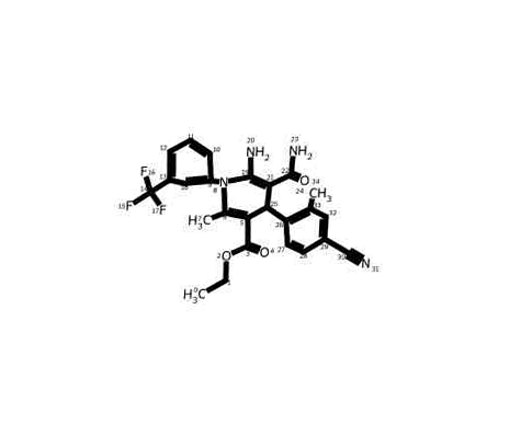 CCOC(=O)C1=C(C)N(c2cccc(C(F)(F)F)c2)C(N)=C(C(N)=O)C1c1ccc(C#N)cc1C